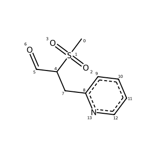 CS(=O)(=O)C(C=O)Cc1ccccn1